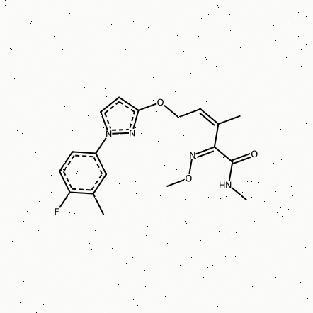 CNC(=O)C(=NOC)C(C)=CCOc1ccn(-c2ccc(F)c(C)c2)n1